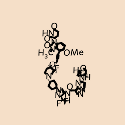 COc1ccc2c(c1C#CCO[C@H]1CCN(C[C@H]3CC[C@H](n4cc(NC(=O)c5cnn6ccc(N7C[C@H]8C[C@@H]7CO8)nc56)c(C(F)F)n4)CC3)C[C@H]1F)n(C)c(=O)n2C1CCC(=O)NC1=O